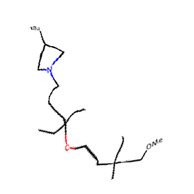 COCC(C)(C)CCOC(C)(C)CCN1CC(C(C)(C)C)C1